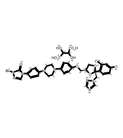 CCC(C)n1ncn(-c2ccc(N3CCN(c4ccc(OC[C@H]5CO[C@](Cn6cncn6)(c6ccc(Cl)cc6Cl)O5)cc4)CC3)cc2)c1=O.O=C(O)C(O)C(O)C(=O)O